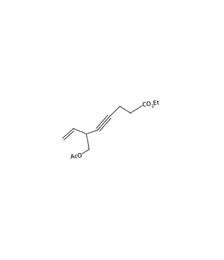 C=CC(C#CCCC(=O)OCC)COC(C)=O